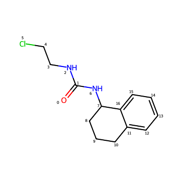 O=C(NCCCl)NC1CCCc2ccccc21